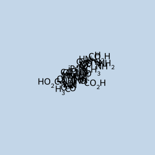 CC(C)C[C@H](NC(=O)[C@H](C)NC(=O)[C@H](CCC(=O)O)NC(=O)CNC(=O)CNC(=O)[C@H](C)NC(=O)[C@H](CCC(=O)O)NC(=O)[C@H](CC(=O)O)NC(=O)[C@@H](N)C(C)C)C(=O)NCC(=O)N[C@@H](CCCNC(=N)N)C(=O)O